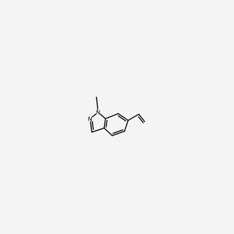 C=Cc1ccc2cnn(C)c2c1